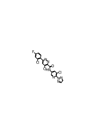 O=C(Nc1cnc(-n2nccn2)c(Cl)c1)c1nnc(-c2ccc(F)cc2Cl)cc1Cl